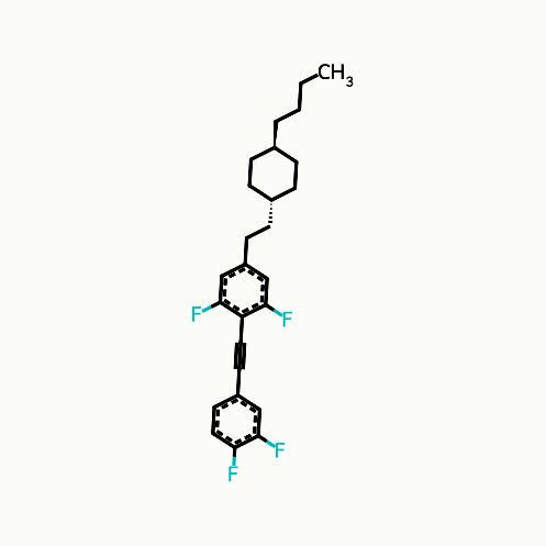 CCCC[C@H]1CC[C@H](CCc2cc(F)c(C#Cc3ccc(F)c(F)c3)c(F)c2)CC1